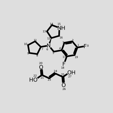 Fc1ccc(CN(C2CCCC2)[C@H]2CCNC2)c(F)c1.O=C(O)C=CC(=O)O